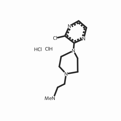 CNCCN1CCN(c2nccnc2Cl)CC1.Cl.Cl